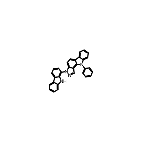 c1ccc(-n2c3ccccc3c3ccc4c(cnn4-c4cccc5c4[nH]c4ccccc45)c32)cc1